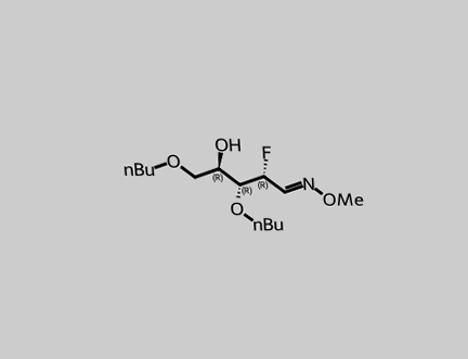 CCCCOC[C@@H](O)[C@@H](OCCCC)[C@H](F)C=NOC